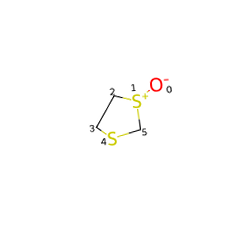 [O-][S+]1CCSC1